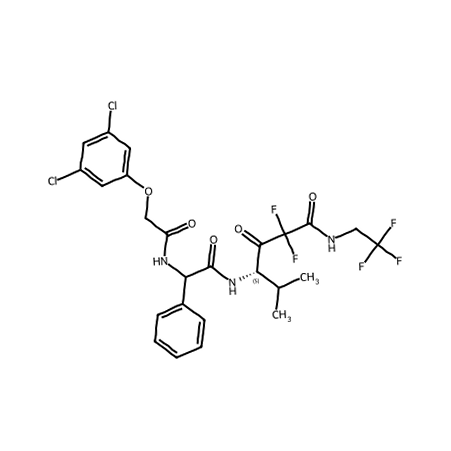 CC(C)[C@H](NC(=O)C(NC(=O)COc1cc(Cl)cc(Cl)c1)c1ccccc1)C(=O)C(F)(F)C(=O)NCC(F)(F)F